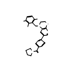 O=C(c1ccc(-c2cnc3c(c2)N(Cc2c(F)ccc(F)c2Cl)CCN3)cc1)N1CCCC1